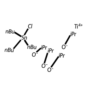 CC(C)[O-].CC(C)[O-].CC(C)[O-].CC(C)[O-].CCC[CH2][Sn]([Cl])([CH2]CCC)[CH2]CCC.[Ti+4]